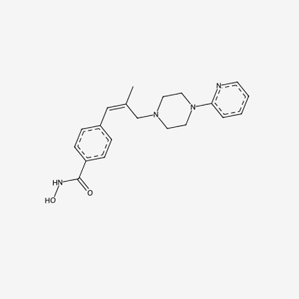 CC(=Cc1ccc(C(=O)NO)cc1)CN1CCN(c2ccccn2)CC1